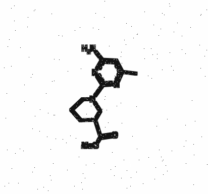 COC(=O)C1CCCN(c2nc(C)cc(N)n2)C1